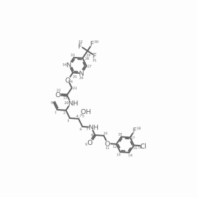 C=CC(C[C@H](O)CNC(=O)COc1ccc(Cl)c(F)c1)NC(=O)COc1ncc(C(F)(F)F)cn1